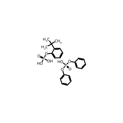 CC(C)(C)c1ccccc1OP(=O)(O)O.O=P(O)(Oc1ccccc1)Oc1ccccc1